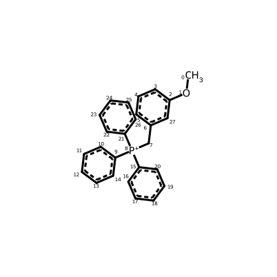 COc1cccc(C[P+](c2ccccc2)(c2ccccc2)c2ccccc2)c1